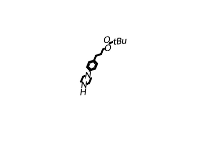 CC(C)(C)C(=O)OCCCc1ccc(N2CCNCC2)cc1